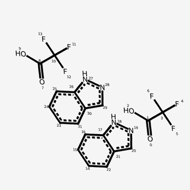 O=C(O)C(F)(F)F.O=C(O)C(F)(F)F.c1ccc2[nH]ncc2c1.c1ccc2[nH]ncc2c1